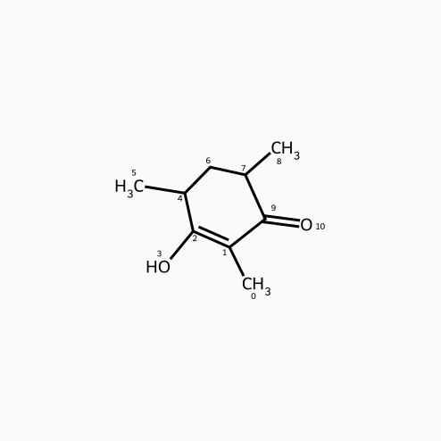 CC1=C(O)C(C)CC(C)C1=O